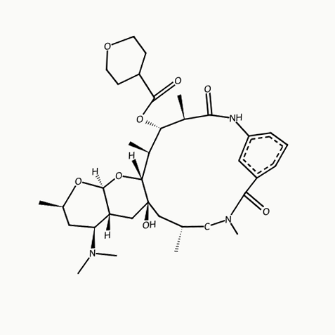 C[C@H]1CN(C)C(=O)c2cccc(c2)NC(=O)[C@H](C)[C@@H](OC(=O)C2CCOCC2)[C@H](C)[C@H]2O[C@@H]3O[C@H](C)C[C@H](N(C)C)[C@H]3C[C@@]2(O)C1